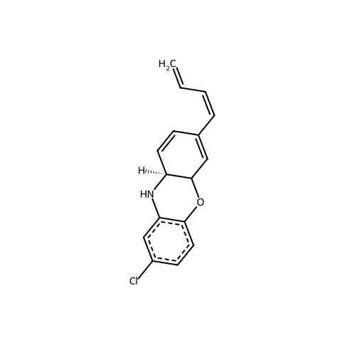 C=C/C=C\C1=CC2Oc3ccc(Cl)cc3N[C@H]2C=C1